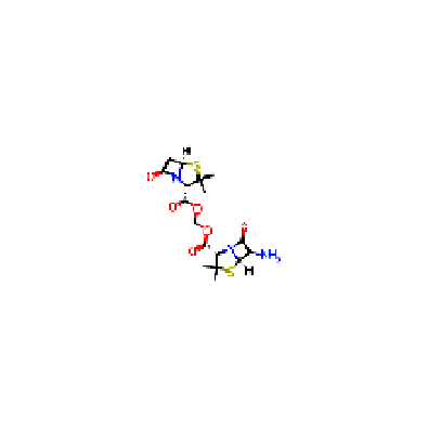 CC1(C)S[C@@H]2[C@H](N)C(=O)N2[C@H]1C(=O)OCOC(=O)[C@@H]1N2C(=O)C[C@H]2SC1(C)C